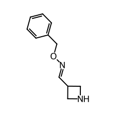 C(=NOCc1ccccc1)C1CNC1